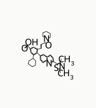 Cc1nc(C)c(-c2ccc3cc(-c4c(C=CC(=O)N5CCCCC5)cc(C(=O)O)cc4C4CCCCC4)ccc3n2)s1